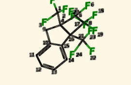 FC(F)(F)C1(C(F)(F)F)Cc2ccccc2C1(C(F)(F)F)C(F)(F)F